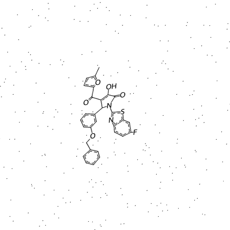 Cc1ccc(C(=O)C2=C(O)C(=O)N(c3nc4ccc(F)cc4s3)C2c2cccc(OCc3ccccc3)c2)o1